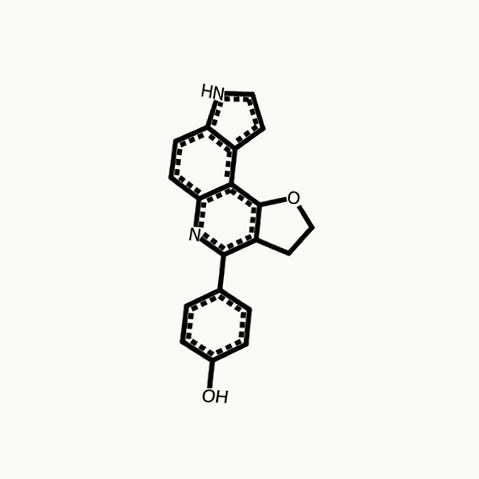 Oc1ccc(-c2nc3ccc4[nH]ccc4c3c3c2CCO3)cc1